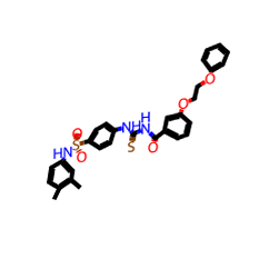 Cc1ccc(NS(=O)(=O)c2ccc(NC(=S)NC(=O)c3cccc(OCCOc4ccccc4)c3)cc2)cc1C